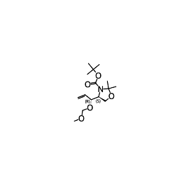 C=C[C@@H](OCOC)[C@@H]1COC(C)(C)N1C(=O)OC(C)(C)C